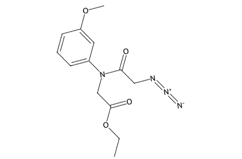 CCOC(=O)CN(C(=O)CN=[N+]=[N-])c1cccc(OC)c1